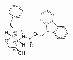 O=C(OCC1c2ccccc2-c2ccccc21)N1C[C@H](Cc2ccccc2)[C@H]2OC[C@H](O)[C@H]21